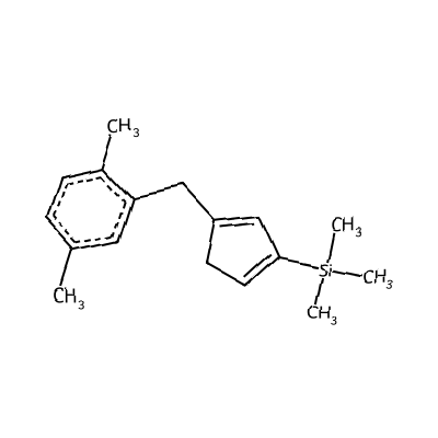 Cc1ccc(C)c(CC2=CC([Si](C)(C)C)=CC2)c1